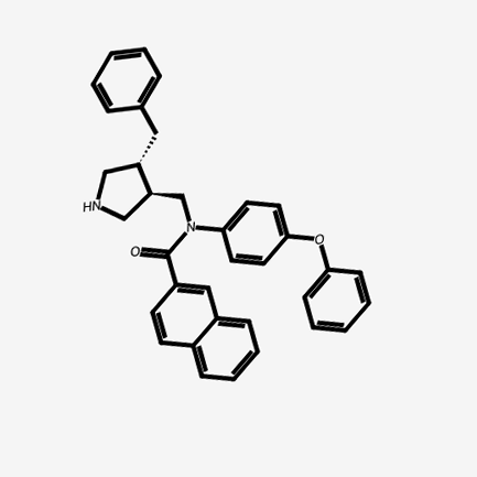 O=C(c1ccc2ccccc2c1)N(C[C@H]1CNC[C@@H]1Cc1ccccc1)c1ccc(Oc2ccccc2)cc1